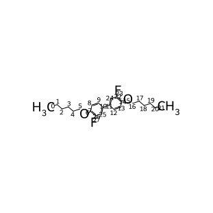 CCCCCCOc1ccc(-c2ccc(OCCCCCC)c(F)c2)cc1F